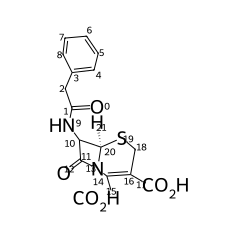 O=C(Cc1ccccc1)NC1C(=O)N2C(C(=O)O)=C(C(=O)O)CS[C@H]12